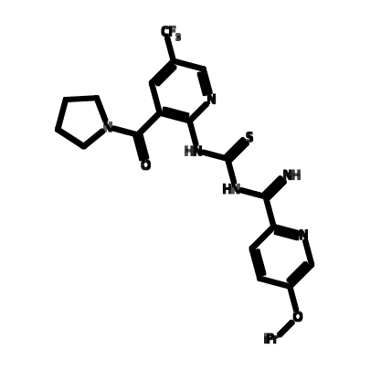 CC(C)Oc1ccc(C(=N)NC(=S)Nc2ncc(C(F)(F)F)cc2C(=O)N2CCCC2)nc1